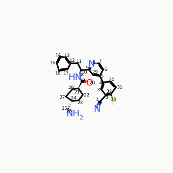 N#Cc1cc(-c2ccnc(C(Cc3ccccc3)NC(=O)[C@H]3CC[C@H](CN)CC3)c2)ccc1F